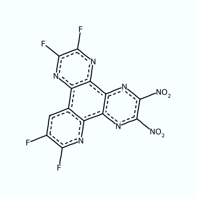 O=[N+]([O-])c1nc2c3nc(F)c(F)cc3c3nc(F)c(F)nc3c2nc1[N+](=O)[O-]